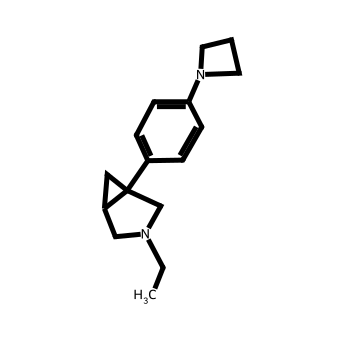 CCN1CC2CC2(c2ccc(N3CCC3)cc2)C1